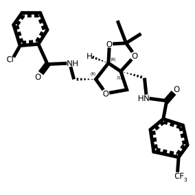 CC1(C)O[C@@H]2[C@@H](CNC(=O)c3ccccc3Cl)OC[C@]2(CNC(=O)c2ccc(C(F)(F)F)cc2)O1